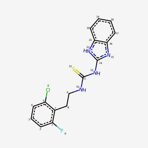 Fc1cccc(Cl)c1CCNC(=S)Nc1nc2ccccc2[nH]1